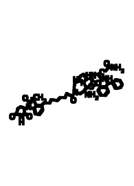 Cn1c(=O)n(C2CCC(=O)NC2=O)c2cccc(CCCCCCCC(=O)N3CC[C@H]4CC[C@@H](C(=O)N[C@@H](CCC(N)=O)C(=O)NC(C5=CCCC=C5)c5ccccc5)N4C(=O)[C@@H](N)C3)c21